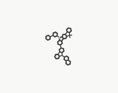 CC1(C)c2ccccc2-c2cc3c(cc21)c1cc(-c2ccc4c(c2)-c2ccccc2C4c2ccc4ccccc4c2)ccc1n3-c1cccc(-c2ccccc2)c1